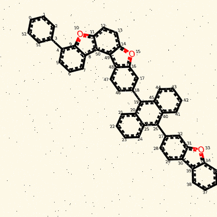 c1ccc(-c2cccc3c2oc2ccc4oc5cc(-c6c7ccccc7c(-c7ccc8c(c7)oc7ccccc78)c7ccccc67)ccc5c4c23)cc1